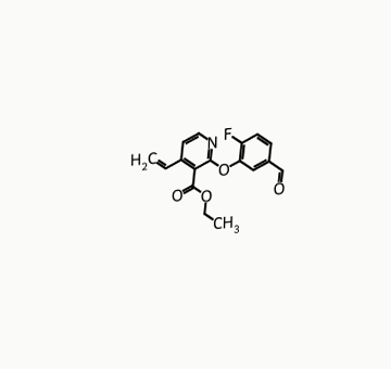 C=Cc1ccnc(Oc2cc(C=O)ccc2F)c1C(=O)OCC